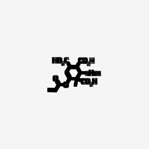 C=CC(=O)OC1=CC(C(=O)O)=C(C(=O)O)C(CCCCCC)C1(C)C(=O)O